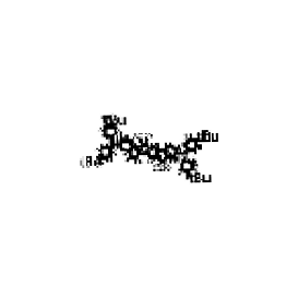 CC(C)(C)c1ccc(N(c2ccc(C(C)(C)C)cc2)c2ccc3c(c2)C(C)(C)c2cc4c(cc2-3)C(C)(C)c2c-4ccc3cc(N(c4ccc(C(C)(C)C)cc4)c4ccc(C(C)(C)C)cc4)ccc23)cc1